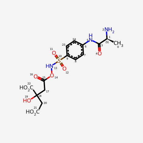 C[C@H](N)C(=O)Nc1ccc(S(=O)(=O)NOC(=O)CC(O)(CC(=O)O)C(=O)O)cc1